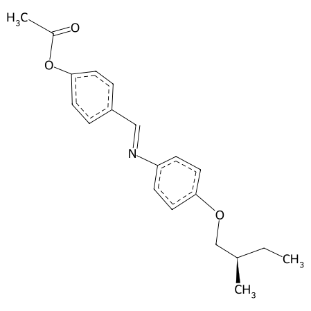 CC[C@@H](C)COc1ccc(N=Cc2ccc(OC(C)=O)cc2)cc1